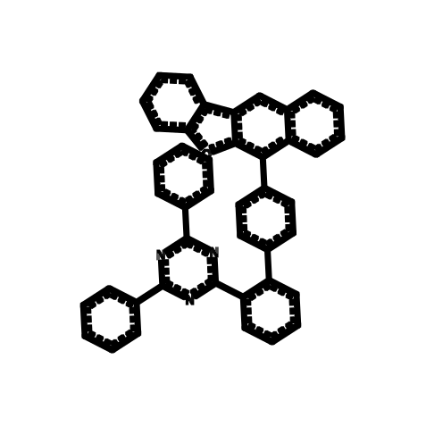 c1ccc(-c2nc(-c3ccccc3)nc(-c3ccccc3-c3ccc(-c4c5ccccc5cc5c4oc4ccccc45)cc3)n2)cc1